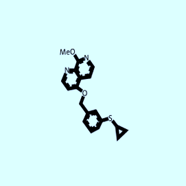 COc1nccc2c(OCc3cccc(SC4CC4)c3)ccnc12